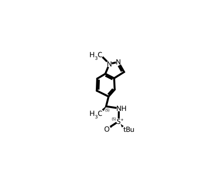 C[C@H](N[S@+]([O-])C(C)(C)C)c1ccc2c(cnn2C)c1